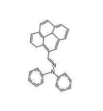 C1=CC2=CC(C=NN(c3ccccc3)c3ccccc3)=C3CC=CC4=C3C2C(=C1)C=C4